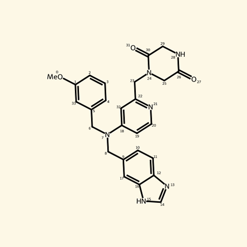 COc1cccc(CN(Cc2ccc3nc[nH]c3c2)c2ccnc(CN3CC(=O)NCC3=O)c2)c1